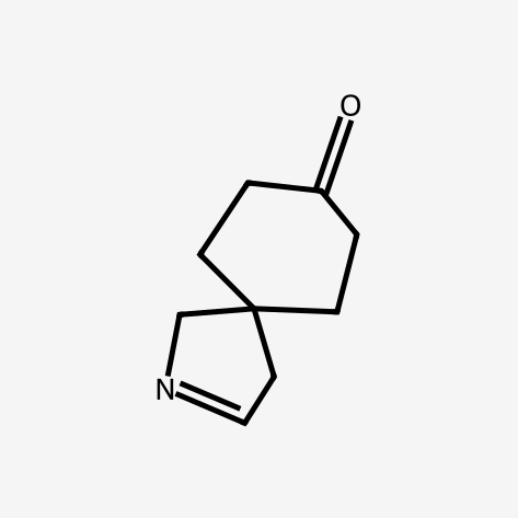 O=C1CCC2(CC=NC2)CC1